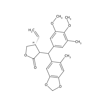 C=C[C@H]1COC(=O)C1C(c1cc(C)c(OC)c(OC)c1)c1cc2c(cc1C)OCO2